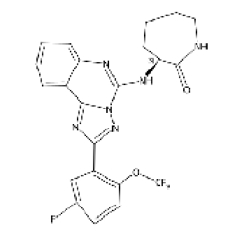 O=C1NCCCC[C@@H]1Nc1nc2ccccc2c2nc(-c3cc(F)ccc3OC(F)(F)F)nn12